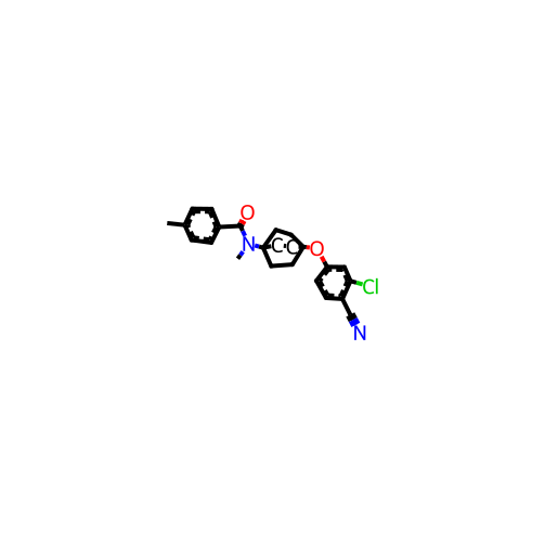 Cc1ccc(C(=O)N(C)C23CCC(Oc4ccc(C#N)c(Cl)c4)(CC2)CC3)cc1